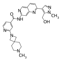 CN1CCC2(CC1)CN(c1cc(C(=O)Nc3cc4nc(-c5cnn(C)c5CO)ccc4cn3)ccn1)C2